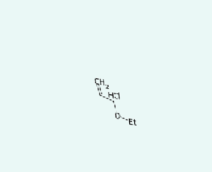 C=CCOCC.Cl